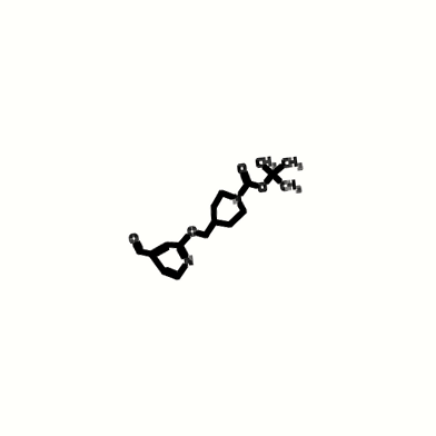 CC(C)(C)OC(=O)N1CCC(COc2cc(C=O)ccn2)CC1